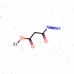 CCOC(=O)CC(=O)N=N